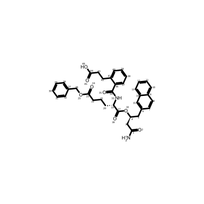 NC(=O)C[C@H](Cc1ccc2ccccc2c1)OC(=O)[C@H](CCCC(=O)OCc1ccccc1)NC(=O)c1ccccc1CCC(=O)O